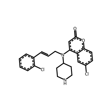 O=c1cc(N(CC=Cc2ccccc2Cl)C2CCNCC2)c2cc(Cl)ccc2o1